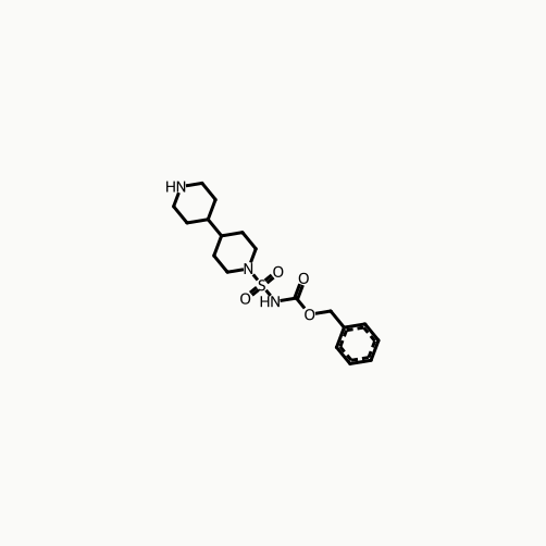 O=C(NS(=O)(=O)N1CCC(C2CCNCC2)CC1)OCc1ccccc1